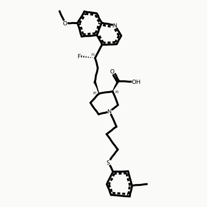 COc1ccc2nccc([C@@H](F)CC[C@@H]3CCN(CCCSc4cccc(C)c4)C[C@@H]3C(=O)O)c2c1